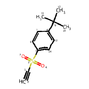 C#CS(=O)(=O)c1ccc(C(C)(C)C)cc1